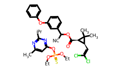 CC1(C)[C@H](C(=O)OC(C#N)c2cccc(Oc3ccccc3)c2)[C@@H]1C=C(Cl)Cl.CCOP(=S)(OCC)Oc1cc(C)nc(C(C)C)n1